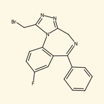 Fc1ccc2c(c1)C(c1ccccc1)=NCc1nnc(CBr)n1-2